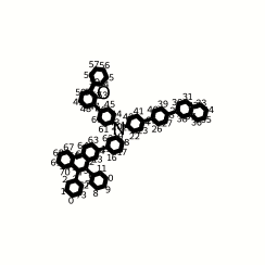 c1ccc(-c2c(-c3ccccc3)c3cc(-c4cccc(N(c5ccc(-c6ccc(-c7ccc8ccccc8c7)cc6)cc5)c5ccc(-c6cccc7c6oc6ccccc67)cc5)c4)ccc3c3ccccc23)cc1